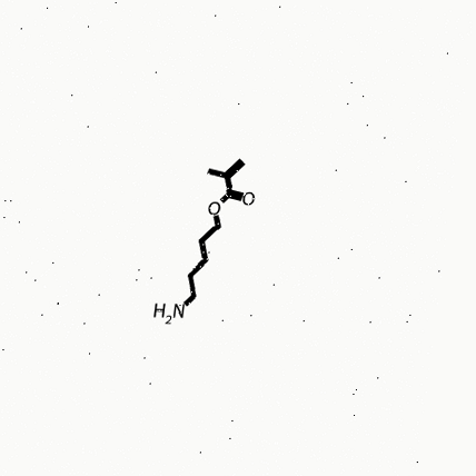 C=C(C)C(=O)OCCCCCN